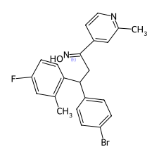 Cc1cc(/C(CC(c2ccc(Br)cc2)c2ccc(F)cc2C)=N/O)ccn1